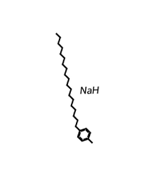 CCCCCCCCCCCCCCCCCCCc1ccc(C)cc1.[NaH]